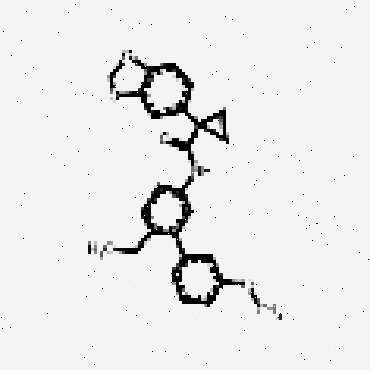 CCc1ccc(NC(=O)C2(c3ccc4c(c3)OCO4)CC2)cc1-c1cccc(OC)c1